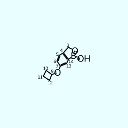 OB1OCc2ccc(OC3CCC3)cc21